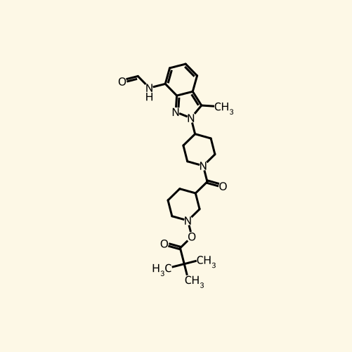 Cc1c2cccc(NC=O)c2nn1C1CCN(C(=O)C2CCCN(OC(=O)C(C)(C)C)C2)CC1